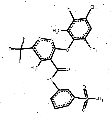 Cc1cc(C)c(Oc2nnc(C(F)(F)F)c(C)c2C(=O)Nc2cccc(S(C)(=O)=O)c2)c(C)c1F